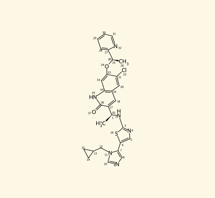 C[C@H](Nc1ncc(-c2cncn2CC2CC2)s1)c1cc2cc(Cl)c(O[C@H](C)c3ccccn3)cc2[nH]c1=O